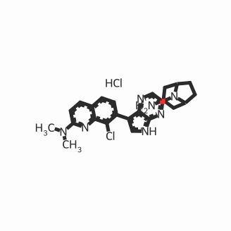 CN(C)c1ccc2ccc(-c3c[nH]c4nc(N5C6CCC5CC(N)C6)cnc34)c(Cl)c2n1.Cl